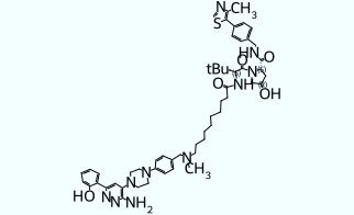 Cc1ncsc1-c1ccc(CNC(=O)[C@@H]2C[C@@H](O)CN2C(=O)[C@@H](NC(=O)CCCCCCCCCN(C)Cc2ccc(N3CCN(c4cc(-c5ccccc5O)nnc4N)CC3)cc2)C(C)(C)C)cc1